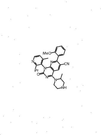 COc1ccccc1-c1nc2c(cc1C#N)c(N1CCNCC1C)nc(=O)n2-c1c(C)ccnc1C(C)C